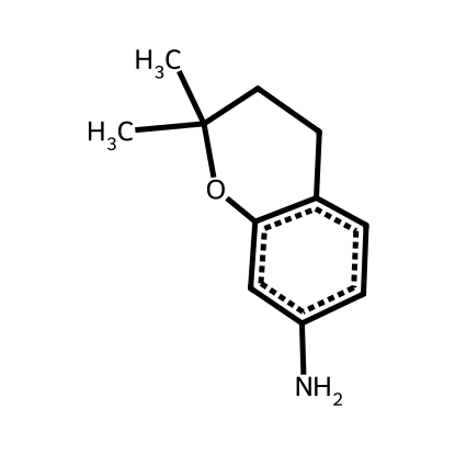 CC1(C)CCc2ccc(N)cc2O1